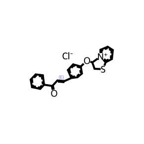 O=C(/C=C/c1ccc(OC2CSc3cccc[n+]32)cc1)c1ccccc1.[Cl-]